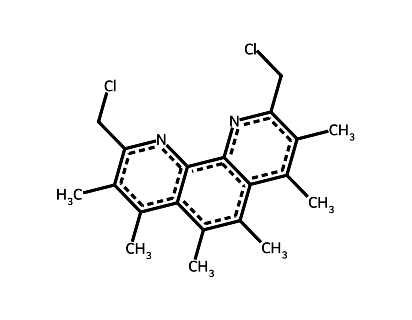 Cc1c(CCl)nc2c(c1C)c(C)c(C)c1c(C)c(C)c(CCl)nc12